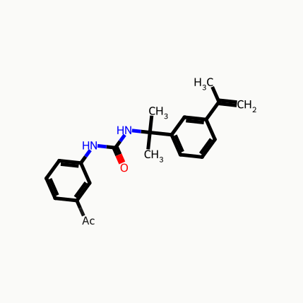 C=C(C)c1cccc(C(C)(C)NC(=O)Nc2cccc(C(C)=O)c2)c1